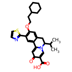 CC(C)C1Cc2cc(OCCC3CCCCC3)c(-c3nccs3)cc2-c2cc(=O)c(C(=O)O)cn21